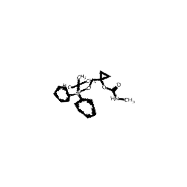 CNC(=O)OC1(CO[Si](c2ccccc2)(c2ccccc2)C(C)(C)C)CC1